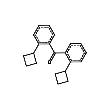 O=C(c1ccccc1C1CCC1)c1ccccc1C1CCC1